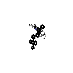 C=C/C=C\c1c2c(c3sc4ccccc4c3c1C)C(C)(C)C1=CCC(c3cccc(-c4c5ccccc5c(-c5ccccc5)c5ccccc45)c3)C=C12